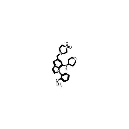 COc1ccccc1-n1ccc2cc(CN3CCS(=O)(=O)CC3)cc(NC3CCOCC3)c21